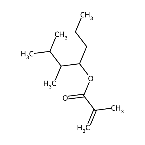 C=C(C)C(=O)OC(CCC)C(C)C(C)C